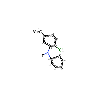 COc1[c]cc(Cl)c(N(C)c2ccccc2)c1